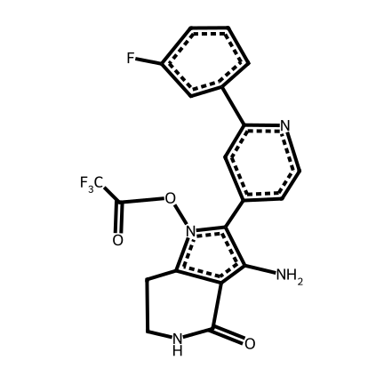 Nc1c2c(n(OC(=O)C(F)(F)F)c1-c1ccnc(-c3cccc(F)c3)c1)CCNC2=O